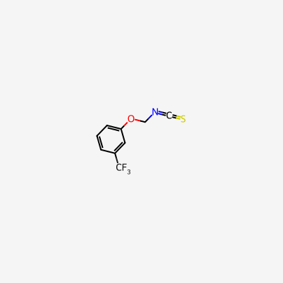 FC(F)(F)c1cccc(OCN=C=S)c1